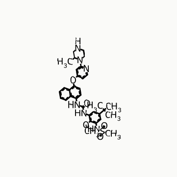 COc1c(NC(=O)Nc2ccc(Oc3ccnc(N4CCNCC4C)c3)c3ccccc23)cc(C(C)(C)C)cc1NS(C)(=O)=O